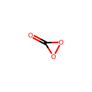 O=C1OO1